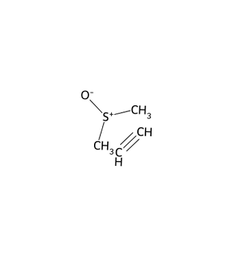 C#C.C[S+](C)[O-]